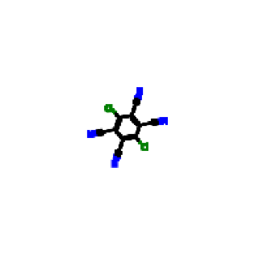 N#Cc1c(Cl)c(C#N)c(C#N)c(Cl)c1C#N